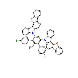 CC(C)c1c(-c2ccc(F)cc2)c(-n2c3ccccc3c3c4sc5ccccc5c4ccc32)cc(-n2c3ccccc3c3c4sc5ccccc5c4ccc32)c1-c1ccc(F)cc1